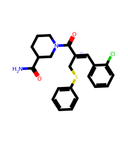 NC(=O)C1CCCN(C(=O)/C(=C/c2ccccc2Cl)CSc2ccccc2)C1